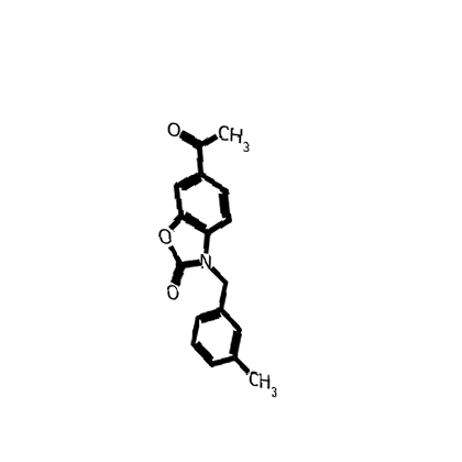 CC(=O)c1ccc2c(c1)oc(=O)n2Cc1cccc(C)c1